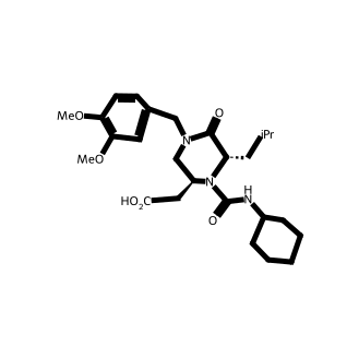 COc1ccc(CN2C[C@H](CC(=O)O)N(C(=O)NC3CCCCC3)[C@@H](CC(C)C)C2=O)cc1OC